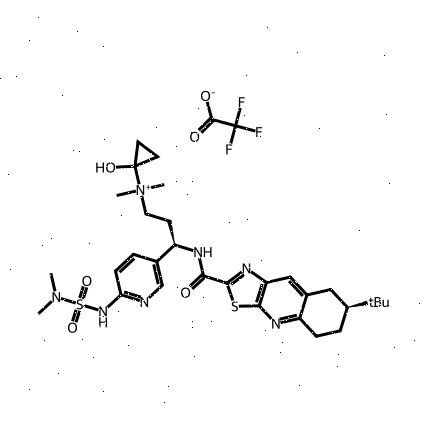 CN(C)S(=O)(=O)Nc1ccc([C@@H](CC[N+](C)(C)C2(O)CC2)NC(=O)c2nc3cc4c(nc3s2)CC[C@H](C(C)(C)C)C4)cn1.O=C([O-])C(F)(F)F